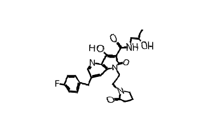 CC(O)CNC(=O)c1c(O)c2ncc(Cc3ccc(F)cc3)cc2n(CCN2CCCC2=O)c1=O